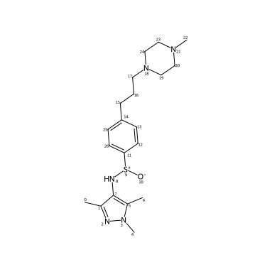 Cc1nn(C)c(C)c1N[S+]([O-])c1ccc(CCCN2CCN(C)CC2)cc1